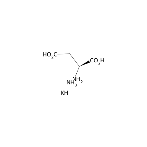 N.N[C@@H](CC(=O)O)C(=O)O.[KH]